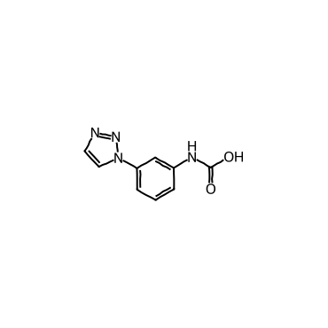 O=C(O)Nc1cccc(-n2ccnn2)c1